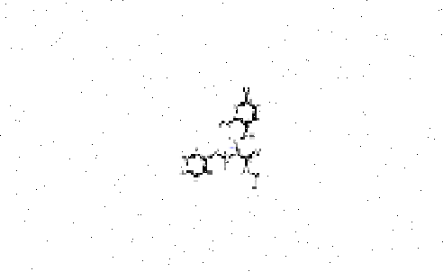 CCOC(=O)/C(=N\Nc1ccc(Cl)cc1Cl)NCc1ccccc1